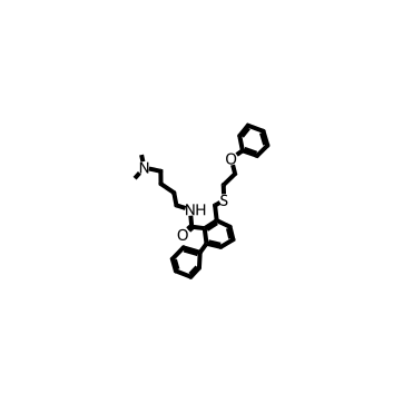 CN(C)CCCCNC(=O)c1c(CSCCOc2ccccc2)cccc1-c1ccccc1